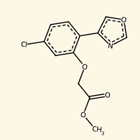 COC(=O)COc1cc(Cl)ccc1-c1cocn1